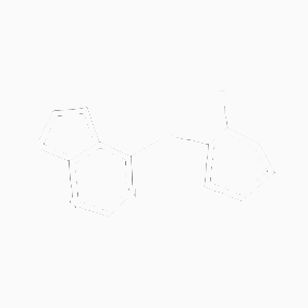 Fc1ccccc1Oc1ncnc2sccc12